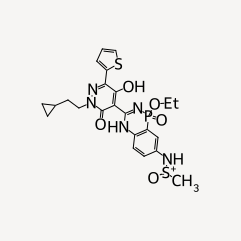 CCOP1(=O)N=C(c2c(O)c(-c3cccs3)nn(CCC3CC3)c2=O)Nc2ccc(N[S+](C)[O-])cc21